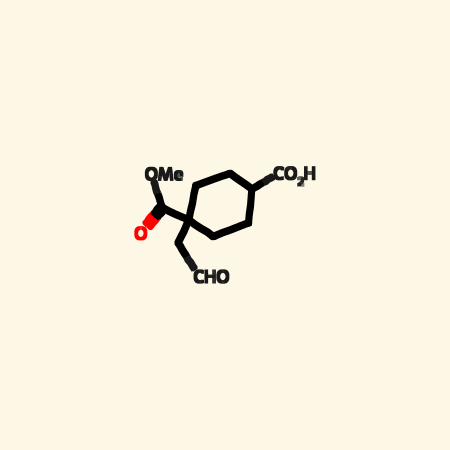 COC(=O)C1(CC=O)CCC(C(=O)O)CC1